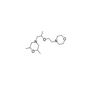 CC(CN1CC(C)OC(C)C1)OCCN1CCOCC1